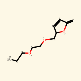 C=C1C=CC(COCCOCCC(C)(C)C)O1